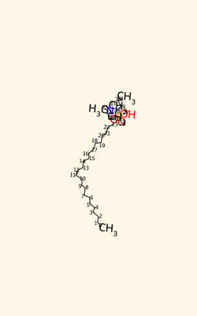 CCCCCCCCCCC/C=C\CCCCCCCCCCCOP(=O)(O)C(CCC)[N+](C)(C)C